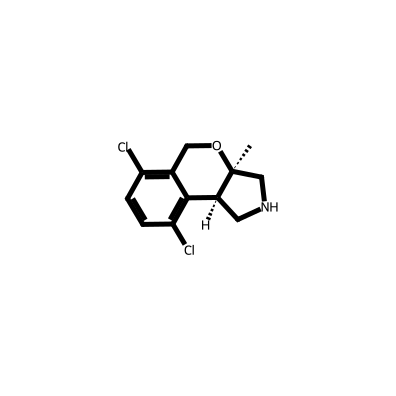 C[C@]12CNC[C@H]1c1c(Cl)ccc(Cl)c1CO2